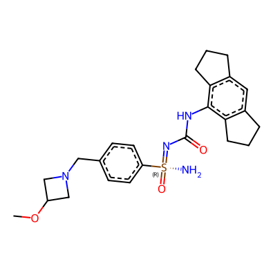 COC1CN(Cc2ccc([S@](N)(=O)=NC(=O)Nc3c4c(cc5c3CCC5)CCC4)cc2)C1